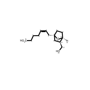 O=C(O)CCC/C=C\C[C@]12CC[C@H](O1)[C@@H](CO)C2